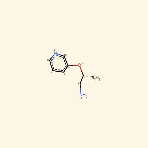 C[C@H](CN)Oc1cccnc1